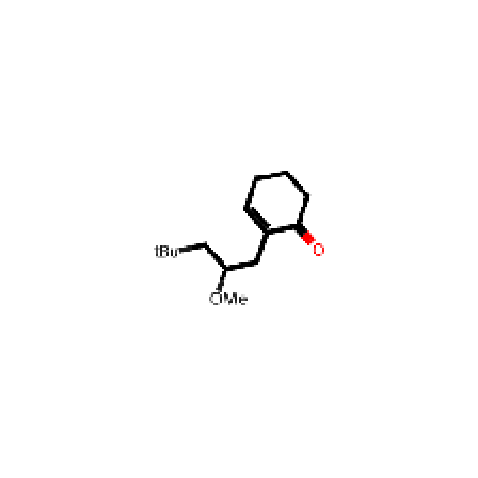 COC(CC1=CCCCC1=O)CC(C)(C)C